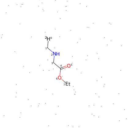 [2H]CNCC(=O)OCC